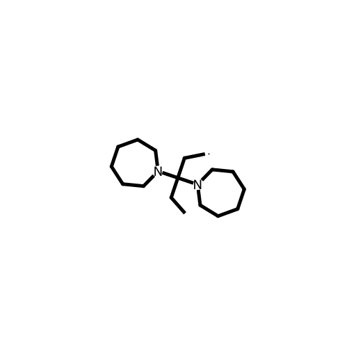 [CH2]CC(CC)(N1CCCCCC1)N1CCCCCC1